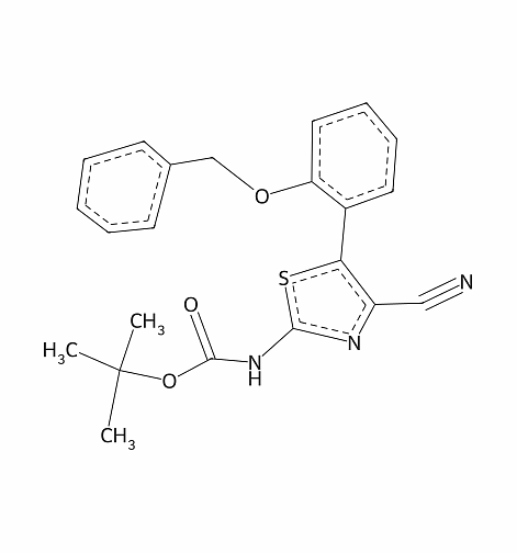 CC(C)(C)OC(=O)Nc1nc(C#N)c(-c2ccccc2OCc2ccccc2)s1